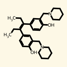 CCC(=C(CC)c1ccc(O)c(CN2CCCCC2)c1)c1ccc(O)c(CN2CCCCC2)c1